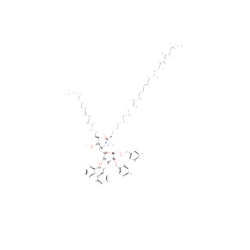 CCCCCCCCCCCCC=C[C@@H](O)[C@H](C[C@H]1O[C@H](COCc2ccccc2)[C@H](OCc2ccccc2)[C@H](OCc2ccccc2)[C@H]1OCc1ccccc1)NC(=O)CCCCCCCCCCCCCCCCCCCCCCCCC